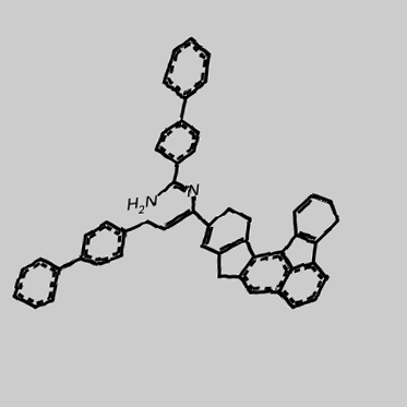 N/C(=N\C(=C/Cc1ccc(-c2ccccc2)cc1)C1=CC2=C(CC1)c1c(cc3cccc4c3c1C1=C4CCC=C1)C2)c1ccc(-c2ccccc2)cc1